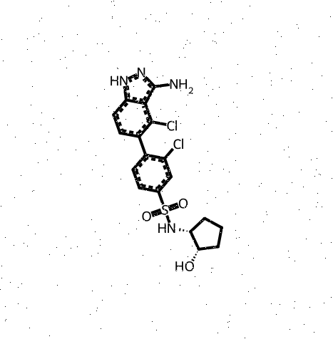 Nc1n[nH]c2ccc(-c3ccc(S(=O)(=O)N[C@@H]4CCC[C@@H]4O)cc3Cl)c(Cl)c12